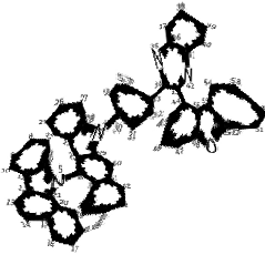 c1ccc2c(-n3c4ccccc4c4ccc5ccccc5c43)c3c4ccccc4n(-c4ccc(-c5nc6ccccc6nc5-c5cccc6oc7ccccc7c56)cc4)c3cc2c1